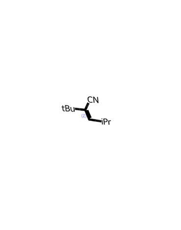 CC(C)/C=C(\C#N)C(C)(C)C